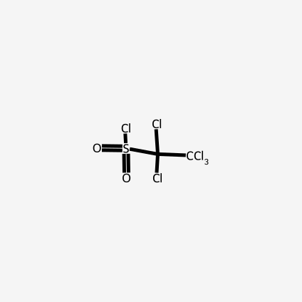 O=S(=O)(Cl)C(Cl)(Cl)C(Cl)(Cl)Cl